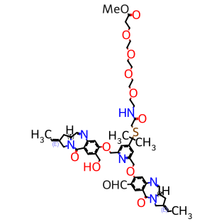 C/C=C1\C[C@H]2C=Nc3cc(OCc4cc(C(C)(C)SCC(=O)NCCOCCOCCOCCOCCC(=O)OC)cc(COc5cc6c(cc5CO)C(=O)N5C/C(=C/C)C[C@H]5C=N6)n4)c(C=O)cc3C(=O)N2C1